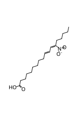 CCCCCC(=CC=CCCCCCCCCC(=O)O)[N+](=O)[O-]